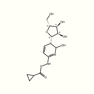 O=C(ONC1=NC(O)N([C@@H]2O[C@H](CO)[C@@H](O)[C@H]2O)C=C1)C1CC1